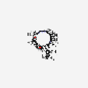 COC1C(=O)C(C)C[C@H](C)/C=C/C=C/C=C(\C)[C@@H](OC)C[C@@H]2CC[C@@H](C)[C@@](O)(O2)C(=O)C(=O)N2CCCC[C@H]2C(=O)C[C@H](C(C)CC2CC[C@@H](O[PH](C)(C)O)[C@H](OC)C2)CC(=O)[C@H](C)/C=C(\C)[C@H]1O